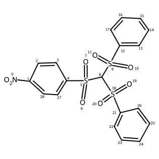 O=[N+]([O-])c1ccc(S(=O)(=O)C(S(=O)(=O)c2ccccc2)S(=O)(=O)c2ccccc2)cc1